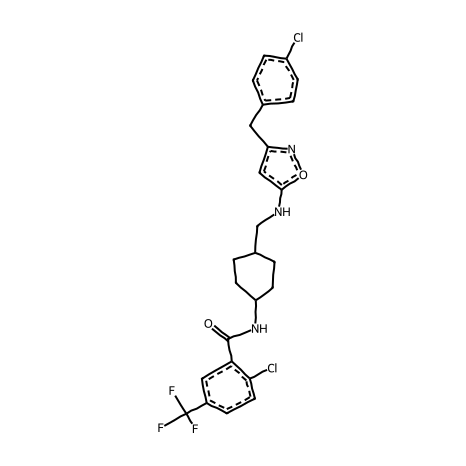 O=C(NC1CCC(CNc2cc(Cc3ccc(Cl)cc3)no2)CC1)c1cc(C(F)(F)F)ccc1Cl